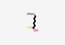 CCCCCCCCCCC(O)S